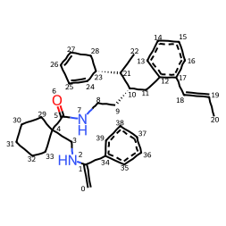 C=C(NCC1(C(=O)NCC[C@@H](Cc2ccccc2/C=C/C)C(C)[C@@H]2C=CC=CC2)CCCCC1)c1ccccc1